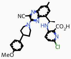 COc1ccc(C2CCN(c3nc4c([C@@H](C)Nc5ccc(Cl)nc5C(=O)O)cc(C)cc4nc3C#N)CC2)cc1